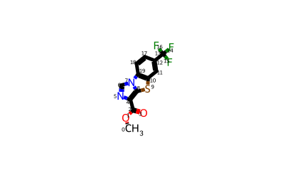 COC(=O)c1ncn2c1sc1cc(C(F)(F)F)ccc12